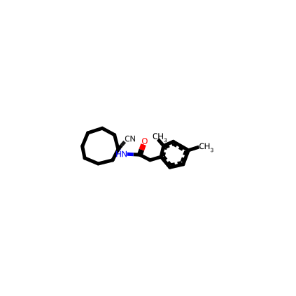 Cc1ccc(CC(=O)NC2(C#N)CCCCCCC2)c(C)c1